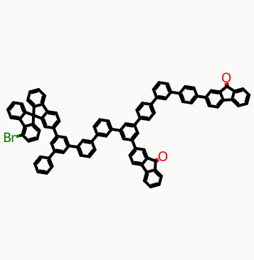 O=C1c2ccccc2-c2ccc(-c3ccc(-c4cccc(-c5ccc(-c6cc(-c7cccc(-c8cccc(-c9cc(-c%10ccccc%10)cc(-c%10ccc%11c(c%10)C%10(c%12ccccc%12-%11)c%11ccccc%11-c%11c(Br)cccc%11%10)c9)c8)c7)cc(-c7ccc8c(c7)C(=O)c7ccccc7-8)c6)cc5)c4)cc3)cc21